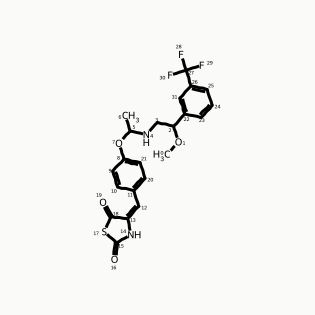 COC(CNC(C)Oc1ccc(C=C2NC(=O)SC2=O)cc1)c1cccc(C(F)(F)F)c1